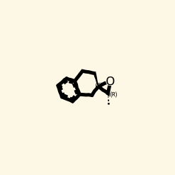 C[C@H]1O[C@]12CCc1ccccc1C2